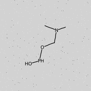 CN(C)COPO